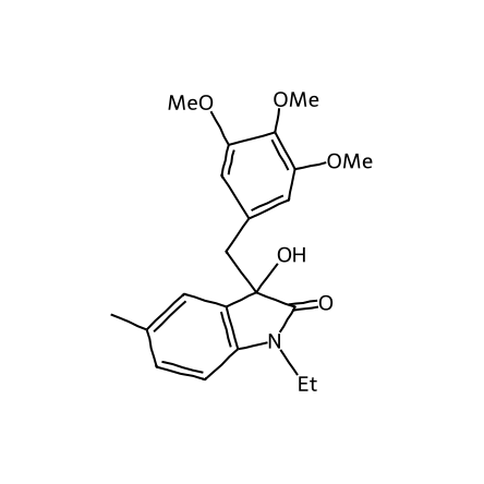 CCN1C(=O)C(O)(Cc2cc(OC)c(OC)c(OC)c2)c2cc(C)ccc21